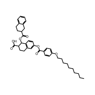 CCCCCCCCCCOc1ccc(C(=O)Oc2ccc3c(c2)CCC(C(=O)O)C3OC(=O)C2CCc3ccccc3C2)cc1